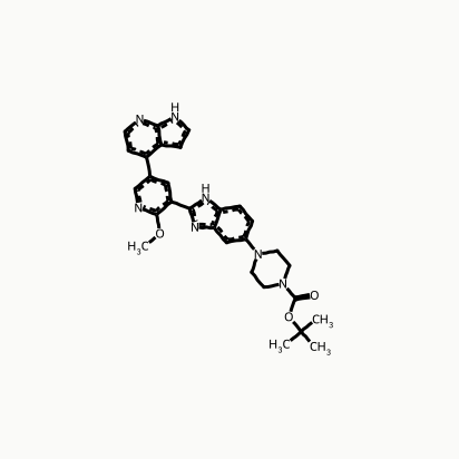 COc1ncc(-c2ccnc3[nH]ccc23)cc1-c1nc2cc(N3CCN(C(=O)OC(C)(C)C)CC3)ccc2[nH]1